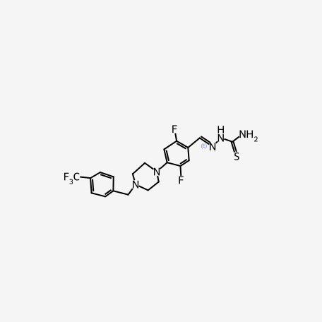 NC(=S)N/N=C/c1cc(F)c(N2CCN(Cc3ccc(C(F)(F)F)cc3)CC2)cc1F